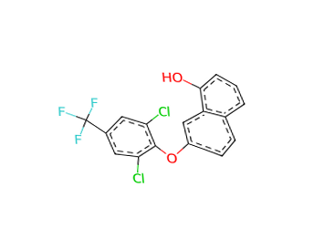 Oc1cccc2ccc(Oc3c(Cl)cc(C(F)(F)F)cc3Cl)cc12